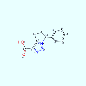 O=C(O)c1nnn2c1CCC2c1ccccc1